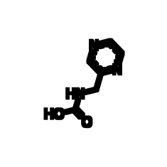 O=C(O)NCc1cnccn1